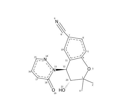 CC1(C)Oc2ccc(C#N)cc2[C@H](n2ncccc2=O)[C@H]1O